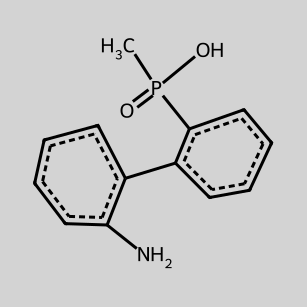 CP(=O)(O)c1ccccc1-c1ccccc1N